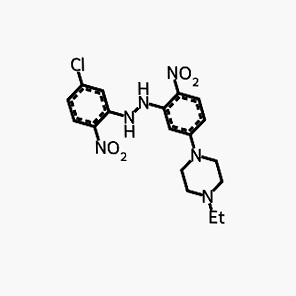 CCN1CCN(c2ccc([N+](=O)[O-])c(NNc3cc(Cl)ccc3[N+](=O)[O-])c2)CC1